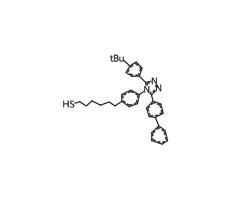 CC(C)(C)c1ccc(-c2nnc(-c3ccc(-c4ccccc4)cc3)n2-c2ccc(CCCCCCS)cc2)cc1